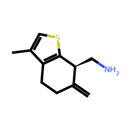 C=C1CCc2c(C)csc2[C@H]1CN